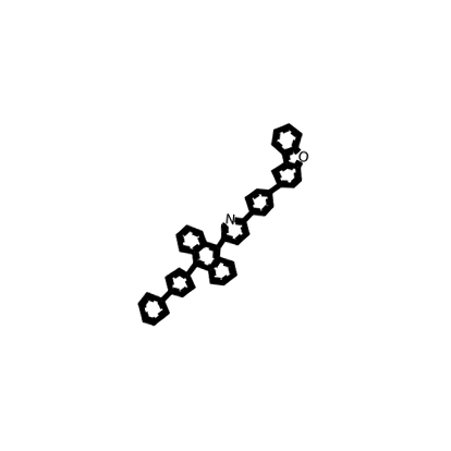 c1ccc(-c2ccc(-c3c4ccccc4c(-c4ccc(-c5ccc(-c6ccc7oc8ccccc8c7c6)cc5)nc4)c4ccccc34)cc2)cc1